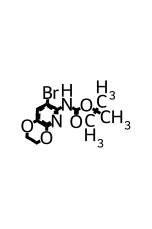 CC(C)(C)OC(=O)Nc1nc2c(cc1Br)OCCO2